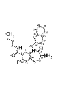 CCCCNC(=O)c1cc2c(cc1F)SC[C@H](N)C(=O)N2Cc1ccc2ccccc2n1